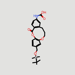 CC(C)(C)[Si](C)(C)OCc1ccc2c(c1)OCCCc1cc(NC(=O)O)ccc1C(=O)O2